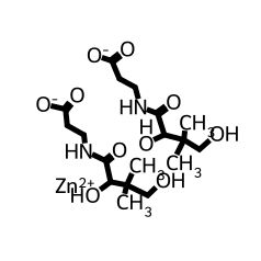 CC(C)(CO)C(O)C(=O)NCCC(=O)[O-].CC(C)(CO)C(O)C(=O)NCCC(=O)[O-].[Zn+2]